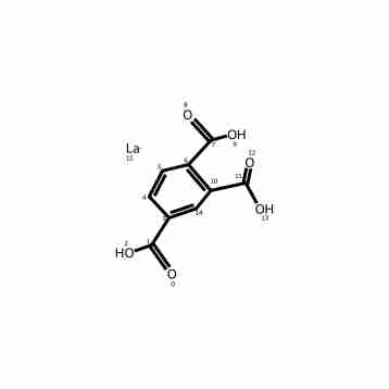 O=C(O)c1ccc(C(=O)O)c(C(=O)O)c1.[La]